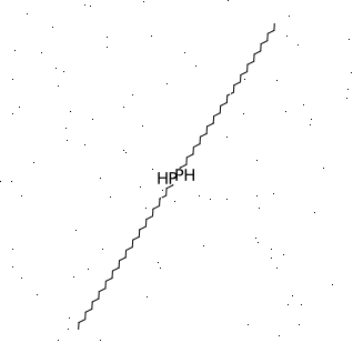 CCCCCCCCCCCCCCCCCCCCCCCCCCCCCPPCCCCCCCCCCCCCCCCCCCCCCCCCCCCC